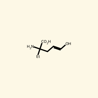 CCC(N)(CC=CO)C(=O)O